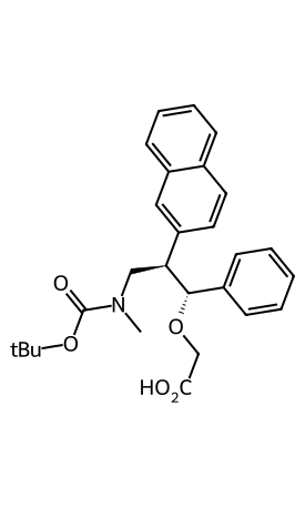 CN(C[C@@H](c1ccc2ccccc2c1)[C@@H](OCC(=O)O)c1ccccc1)C(=O)OC(C)(C)C